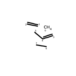 C.C=C.C=CC.CC